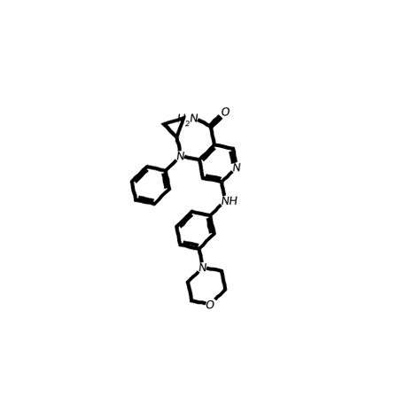 NC(=O)c1cnc(Nc2cccc(N3CCOCC3)c2)cc1N(c1ccccc1)C1CC1